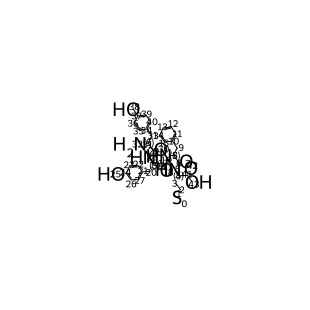 CSCC[C@H](NC(=O)[C@H](Cc1ccccc1)NC(=O)[C@H](Cc1ccc(O)cc1)NC(=O)[C@@H](N)Cc1ccc(O)cc1)C(=O)O